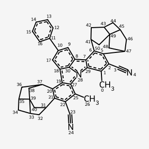 Cc1c(C#N)c2c(c3c4cc(-c5ccccc5)cc5c6c7c(c(C#N)c(C)c6n(c13)c45)C1CC3CC4CC7CC34C1)C1CC3CC4CC2CC43C1